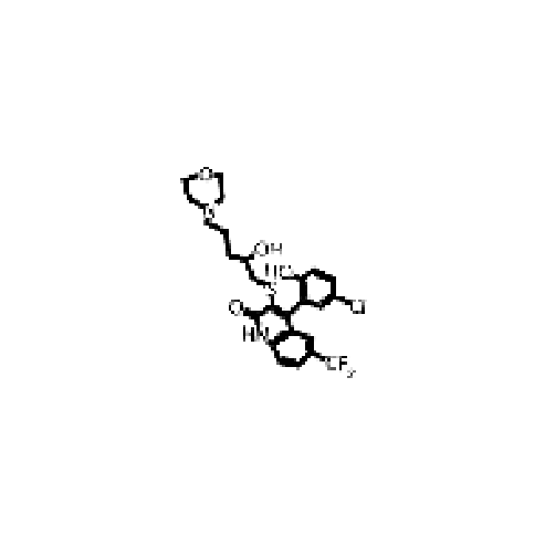 O=c1[nH]c2ccc(C(F)(F)F)cc2c(-c2cc(Cl)ccc2O)c1SCC(O)CCCN1CCOCC1